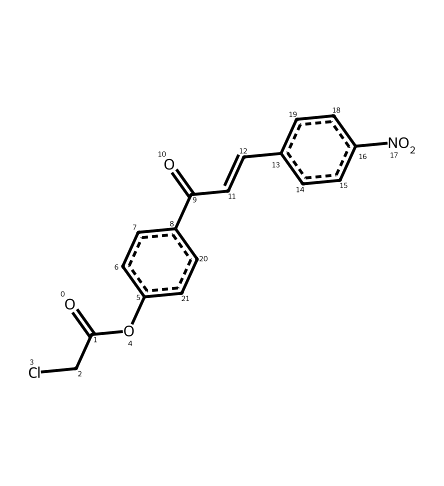 O=C(CCl)Oc1ccc(C(=O)C=Cc2ccc([N+](=O)[O-])cc2)cc1